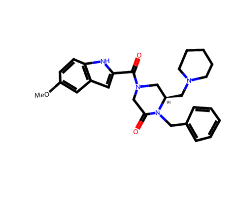 COc1ccc2[nH]c(C(=O)N3CC(=O)N(Cc4ccccc4)[C@H](CN4CCCCC4)C3)cc2c1